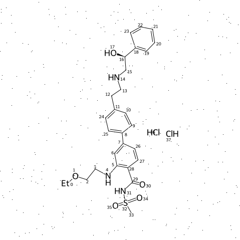 CCOCCNc1cc(-c2ccc(CCNC[C@@H](O)c3ccccc3)cc2)ccc1C(=O)NS(C)(=O)=O.Cl.Cl